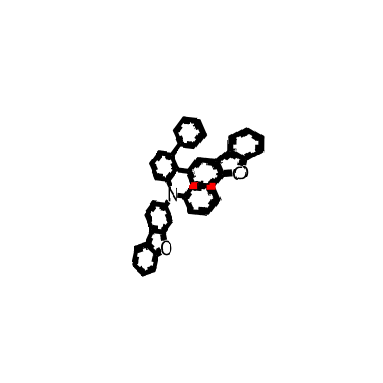 c1ccc(-c2cccc(N(c3ccccc3)c3ccc4c(c3)oc3ccccc34)c2-c2ccc3oc4ccccc4c3c2)cc1